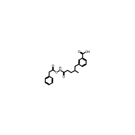 CC(CCC(=O)NOC(=O)Cc1ccccc1)Cc1cccc(C(=O)O)c1